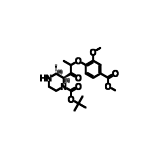 COC(=O)c1ccc(OC(C)C(=O)[C@@H]2[C@@H](C)NCCN2C(=O)OC(C)(C)C)c(OC)c1